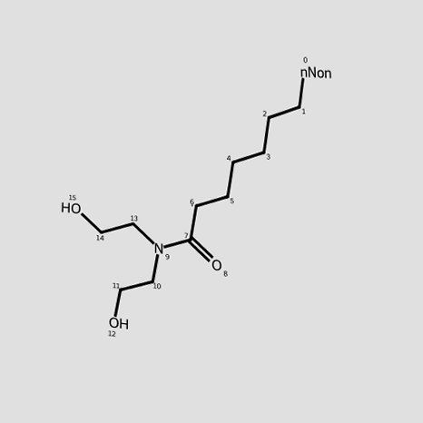 CCCCCCCCCCCCCC[CH]C(=O)N(CCO)CCO